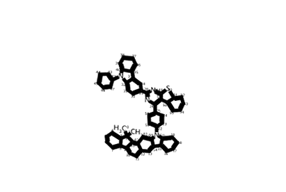 CC1(C)c2ccccc2-c2ccc3cc4c5ccccc5n(-c5ccc(-c6nc(-c7ccc8c(c7)c7ccccc7n8-c7ccccc7)nc7sc8ccccc8c67)cc5)c4cc3c21